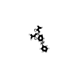 C=C(C)C(=O)CN(CC(=O)C(=C)C)c1ccc(N=Nc2ccccc2)cc1